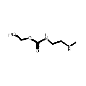 CNCCNC(=O)OCO